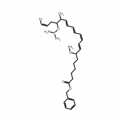 CC/C=C\CC(OP(P)P)C(C)/C=C/C=C/C=C\C=C\C(CCCCCC(=O)OCc1ccccc1)OP